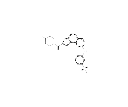 CS(=O)(=O)c1cccc(Nc2ncc3ccc4sc(C(=O)N5CCC(O)CC5)cc4c3n2)c1